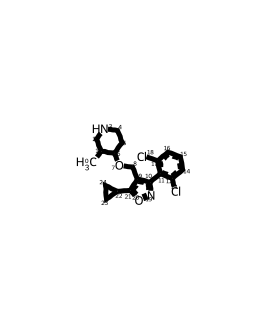 CC1CNCCC1OCc1c(-c2c(Cl)cccc2Cl)noc1C1CC1